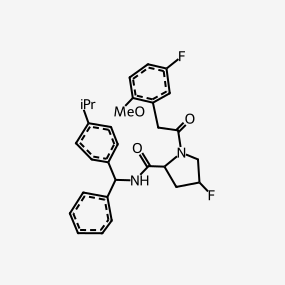 COc1ccc(F)cc1CC(=O)N1CC(F)CC1C(=O)NC(c1ccccc1)c1ccc(C(C)C)cc1